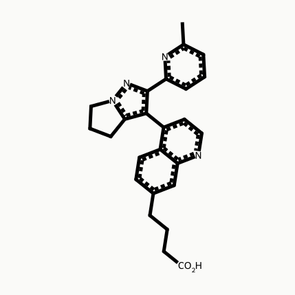 Cc1cccc(-c2nn3c(c2-c2ccnc4cc(CCCC(=O)O)ccc24)CCC3)n1